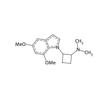 COc1cc(OC)c2c(ccn2C2CCC2N(C)C)c1